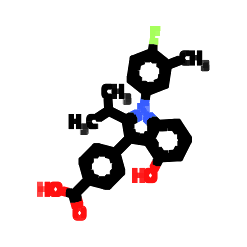 Cc1cc(-n2c(C(C)C)c(-c3ccc(C(=O)O)cc3)c3c(O)cccc32)ccc1F